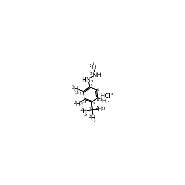 Cl.[2H]NNc1cc([2H])c(C([2H])([2H])[2H])c([2H])c1[2H]